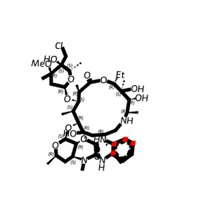 CC[C@H]1OC(=O)[C@H](C)[C@@H](O[C@H]2C[C@@](C)(OC)[C@](O)(CCl)[C@H](C)O2)[C@H](C)[C@@H](O[C@@H]2O[C@H](C)C[C@H](N(C)C(=O)Nc3ccccc3)[C@H]2OC(=O)Nc2ccccc2)[C@](C)(O)C[C@@H](C)CN[C@H](C)[C@@H](O)[C@]1(C)O